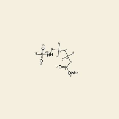 COC(=O)CC(C)(C)CC(C)(C)CNS(C)(=O)=O